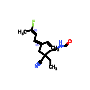 C=C/C(=C\C=C(/C)F)CC(C#N)(CC)CCNC=O